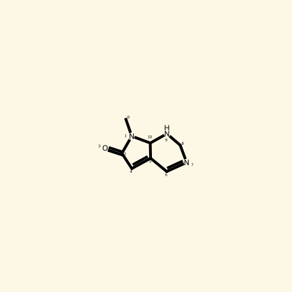 CN1C(=O)C=C2C=NCNC21